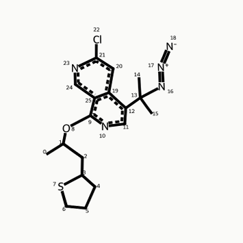 CC(CC1CCCS1)Oc1ncc(C(C)(C)N=[N+]=[N-])c2cc(Cl)ncc12